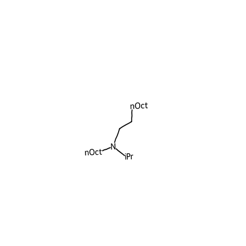 CCCCCCCCCCN(CCCCCCCC)C(C)C